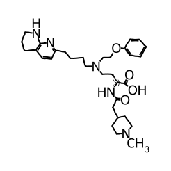 CN1CCC(CC(=O)N[C@@H](CCN(CCCCc2ccc3c(n2)NCCC3)CCOc2ccccc2)C(=O)O)CC1